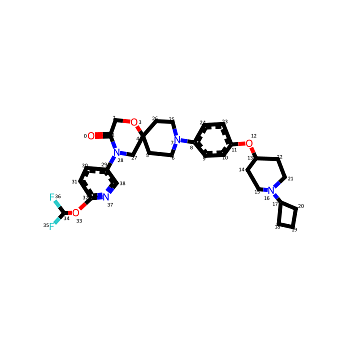 O=C1COC2(CCN(c3ccc(OC4CCN(C5CCC5)CC4)cc3)CC2)CN1c1ccc(OC(F)F)nc1